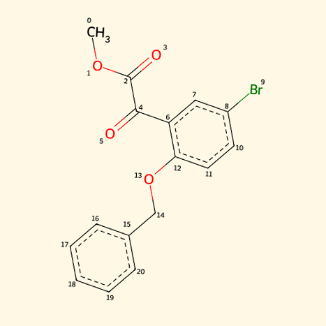 COC(=O)C(=O)c1cc(Br)ccc1OCc1ccccc1